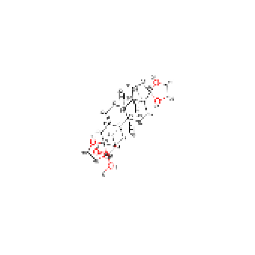 COC(=O)CC[C@]12CCC3(CC1=CC[C@@H]1[C@@H]2CC[C@@]2(C)[C@H]1CCC21OCCO1)OCCO3